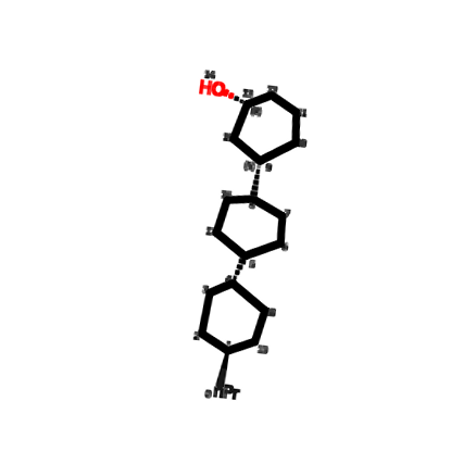 CCC[C@H]1CC[C@H](C2CCC([C@H]3CCC[C@@H](O)C3)CC2)CC1